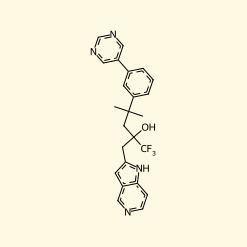 CC(C)(CC(O)(Cc1cc2cnccc2[nH]1)C(F)(F)F)c1cccc(-c2cncnc2)c1